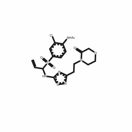 C=CC(Nc1nc(CCN2CCOCC2=O)ns1)S(=O)(=O)c1ccc(NC(C)=O)c(Cl)c1